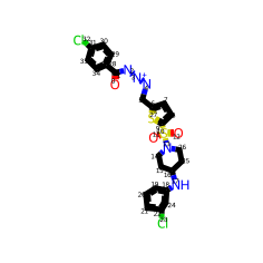 O=C(N=[N+]=NCc1ccc(S(=O)(=O)N2CCC(Nc3cccc(Cl)c3)CC2)s1)c1ccc(Cl)cc1